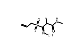 C=CCS(=O)(=O)/C(=N/O)C(C)C(=O)NC